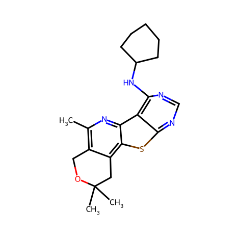 Cc1nc2c(sc3ncnc(NC4CCCCC4)c32)c2c1COC(C)(C)C2